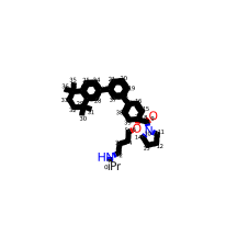 CC(C)NCCCCOC1(C(=O)N2CCCC2)C=CC(c2cccc(-c3ccc4c(c3)C(C)(C)CCC4(C)C)c2)=CC1